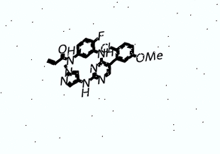 C=CC(=O)Nc1ccc(F)c(Nc2nc(Nc3cnn(C)c3)ncc2-c2cc(OC)ccc2Cl)c1